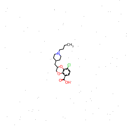 CCCCN1CCC(CC2COc3c(C(=O)O)ccc(Cl)c3O2)CC1